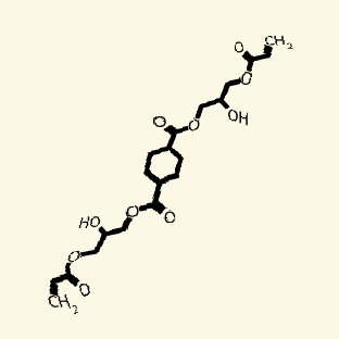 C=CC(=O)OCC(O)COC(=O)C1CCC(C(=O)OCC(O)COC(=O)C=C)CC1